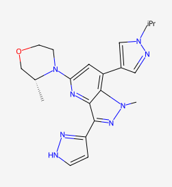 CC(C)n1cc(-c2cc(N3CCOC[C@H]3C)nc3c(-c4cc[nH]n4)nn(C)c23)cn1